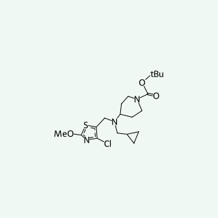 COc1nc(Cl)c(CN(CC2CC2)C2CCN(C(=O)OC(C)(C)C)CC2)s1